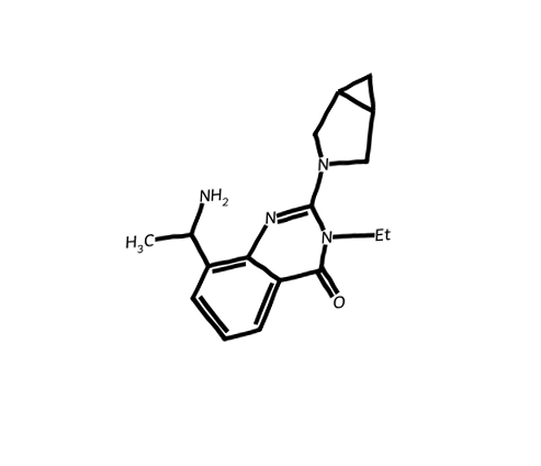 CCn1c(N2CC3CC3C2)nc2c(C(C)N)cccc2c1=O